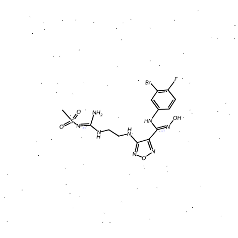 CS(=O)(=O)/N=C(\N)NCCNc1nonc1/C(=N/O)Nc1ccc(F)c(Br)c1